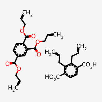 C=CCOC(=O)c1ccc(C(=O)OCC=C)c(C(=O)OCC=C)c1.C=CCc1c(C(=O)O)ccc(C(=O)O)c1CC=C